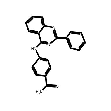 NC(=O)c1ccc(Nc2nc(-c3ccccc3)nc3ccccc23)cc1